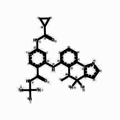 [2H]C([2H])([2H])NC(=O)c1cnc(NC(=O)C2CC2)cc1Nc1cccc2c1N(C)C([2H])([2H])c1ccnn1-2